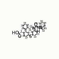 O=C(O)Cc1ccc(Sc2cccc(N(CCc3ccccc3)C(=O)NC34CC5CC(CC(C5)C3)C4)c2)cc1